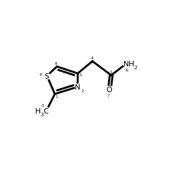 Cc1nc([CH]C(N)=O)cs1